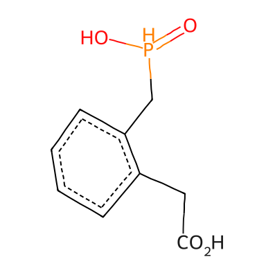 O=C(O)Cc1ccccc1C[PH](=O)O